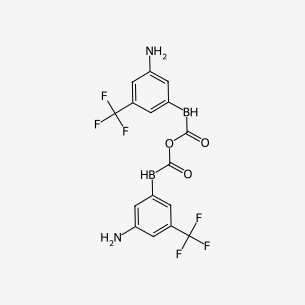 Nc1cc(BC(=O)OC(=O)Bc2cc(N)cc(C(F)(F)F)c2)cc(C(F)(F)F)c1